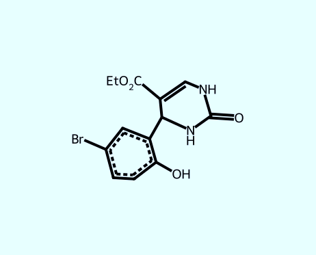 CCOC(=O)C1=CNC(=O)NC1c1cc(Br)ccc1O